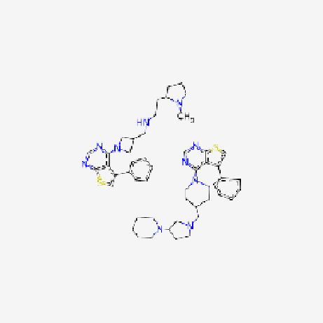 CN1CCCC1CCNCC1CN(c2ncnc3scc(-c4ccccc4)c23)C1.c1ccc(-c2csc3ncnc(N4CCC(CN5CCC(N6CCCCC6)C5)CC4)c23)cc1